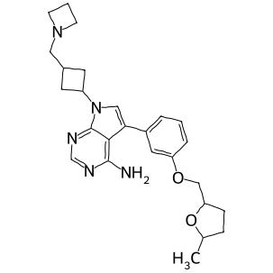 CC1CCC(COc2cccc(-c3cn(C4CC(CN5CCC5)C4)c4ncnc(N)c34)c2)O1